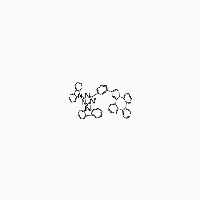 c1cc(-c2ccc3c(c2)-c2ccccc2-c2ccccc2-c2ccccc2-3)cc(-c2nc(-n3c4ccccc4c4ccccc43)nc(-n3c4ccccc4c4ccccc43)n2)c1